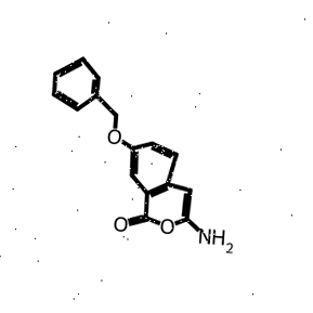 Nc1cc2ccc(OCc3ccccc3)cc2c(=O)o1